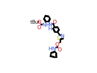 CC(C)(C)OC(=O)Nc1ccccc1NC(=O)c1ccc(-c2ncc(COC(=O)Nc3ccccc3)s2)cc1